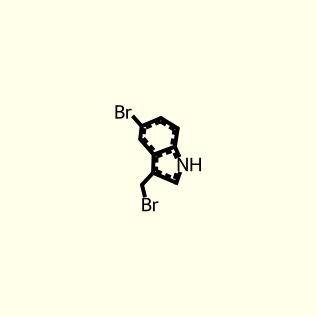 BrCc1c[nH]c2ccc(Br)cc12